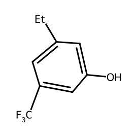 CCc1cc(O)cc(C(F)(F)F)c1